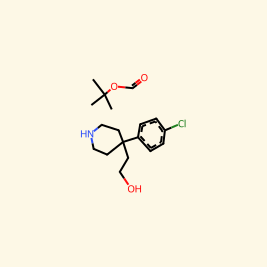 CC(C)(C)OC=O.OCCC1(c2ccc(Cl)cc2)CCNCC1